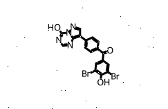 O=C(c1ccc(-c2cnn3c(O)ncnc23)cc1)c1cc(Br)c(O)c(Br)c1